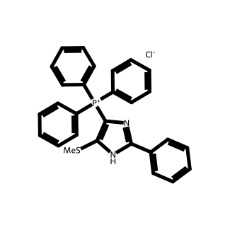 CSc1[nH]c(-c2ccccc2)nc1[P+](c1ccccc1)(c1ccccc1)c1ccccc1.[Cl-]